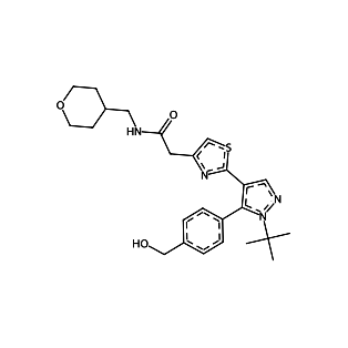 CC(C)(C)n1ncc(-c2nc(CC(=O)NCC3CCOCC3)cs2)c1-c1ccc(CO)cc1